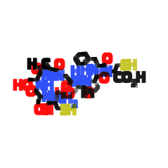 CC(C)C[C@H](NC(=O)[C@H](CO)NC(=O)CNC(=O)[C@H](C)NC(=O)[C@H](CO)NC(=O)[C@H](CO)NC(=O)[C@@H](N)CS)C(=O)N[C@@H](Cc1ccccc1)C(=O)N[C@@H](CS)C(=O)O